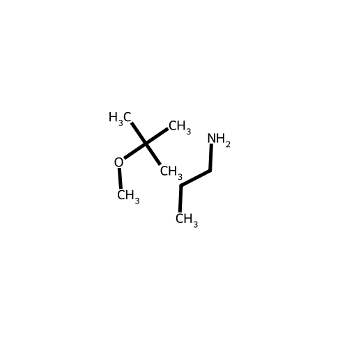 CCCN.COC(C)(C)C